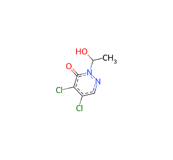 CC(O)n1ncc(Cl)c(Cl)c1=O